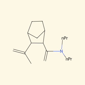 C=C(C)C1C2CCC(C2)C1C(=C)N(CCC)CCC